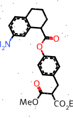 CCOC(=O)C(Cc1ccc(OC(=O)C2CCCc3ccc(N)cc32)cc1)C(=O)OC